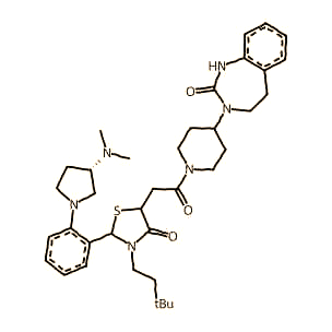 CN(C)[C@H]1CCN(c2ccccc2C2SC(CC(=O)N3CCC(N4CCc5ccccc5NC4=O)CC3)C(=O)N2CCC(C)(C)C)C1